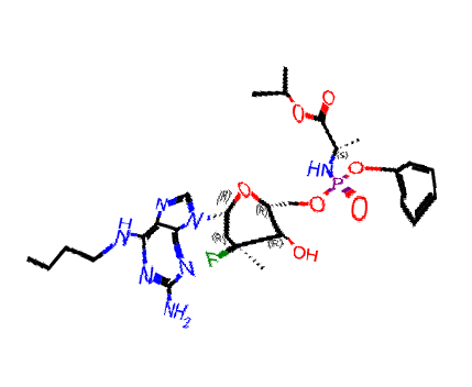 CCCCNc1nc(N)nc2c1ncn2[C@@H]1O[C@H](COP(=O)(N[C@@H](C)C(=O)OC(C)C)Oc2ccccc2)[C@@H](O)[C@@]1(C)F